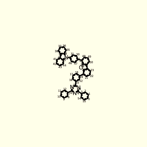 c1ccc(-c2nc(-c3ccccc3)nc(-c3cccc(-c4cccc5c4oc4c(-c6ccc(-n7c8ccccc8c8ccccc87)cc6)cccc45)c3)n2)cc1